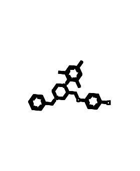 Cc1cc(C)c(N2CCN(Cc3ccccc3)CC2COc2ccc(Cl)cc2)c(C)c1